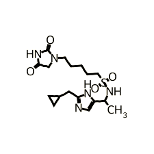 CC(NS(=O)(=O)CCCCCN1CC(=O)NC1=O)c1cnc(CC2CC2)[nH]1